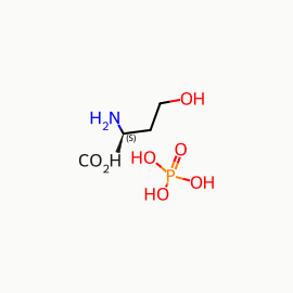 N[C@@H](CCO)C(=O)O.O=P(O)(O)O